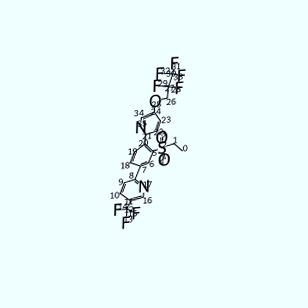 CCS(=O)(=O)c1cc(-c2ccc(C(F)(F)F)cn2)ccc1-c1ccc(OCC(F)(F)C(F)(F)F)cn1